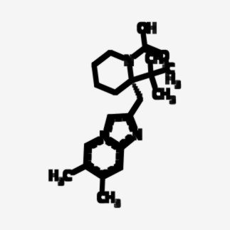 Cc1cc2nc(C[C@]3(C(C)(C)C)CCCCN3C(=O)O)cn2cc1C